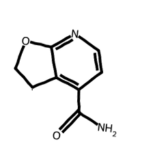 NC(=O)c1ccnc2c1[CH]CO2